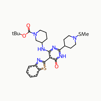 CSN1CCC(c2nc(NC3CCCN(C(=O)OC(C)(C)C)C3)c(-c3nc4ccccc4s3)c(=O)[nH]2)CC1